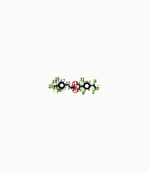 FC(F)=C(F)c1cc(F)c(C2COC(CCc3cc(F)c(C(F)(F)F)c(F)c3)OC2)c(F)c1